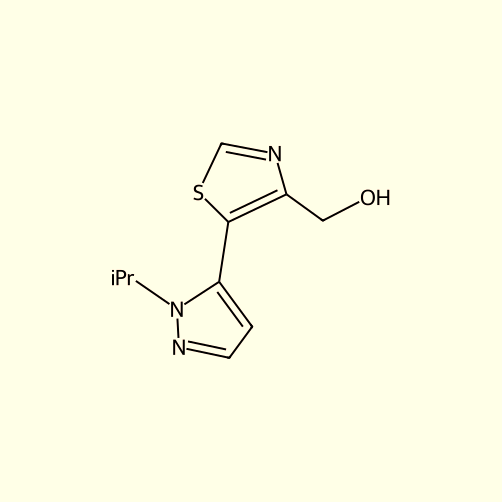 CC(C)n1nccc1-c1scnc1CO